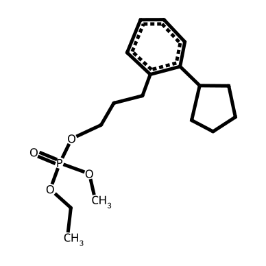 CCOP(=O)(OC)OCCCc1ccccc1C1CCCC1